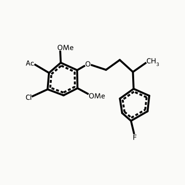 COc1cc(Cl)c(C(C)=O)c(OC)c1OCCC(C)c1ccc(F)cc1